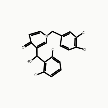 O=c1ccn(Cc2ccc(Cl)c(Cl)c2)cc1C(O)c1c(Cl)cccc1Cl